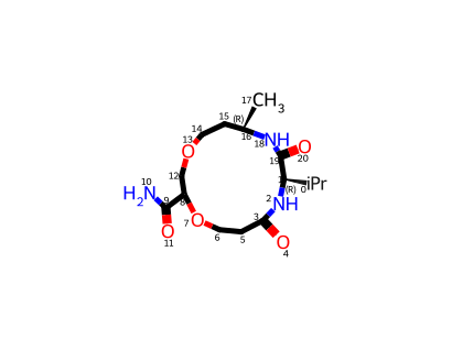 CC(C)[C@H]1NC(=O)CCOC(C(N)=O)COCC[C@@H](C)NC1=O